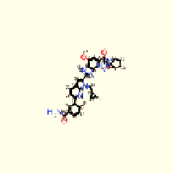 COc1cc(C(=O)N2CC3CCC2[C@@H]3N)cc2nc(-c3cc4ccc(-c5cc(C(N)=O)ccc5C)nc4n3CC3CC3)n(C)c12